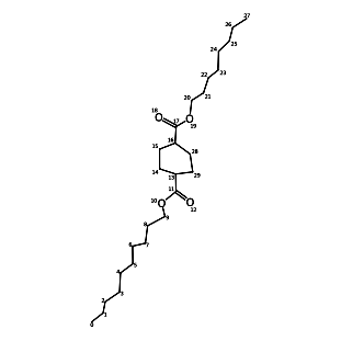 CCCCCCCCCCOC(=O)C1CCC(C(=O)OCCCCCCCC)CC1